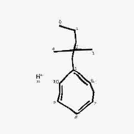 CCC(C)(C)c1cc[c]cc1.[H+]